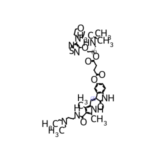 CCN(CC)CCNC(=O)c1c(C)[nH]c(/C=C2\C(=O)Nc3ccc(OC(=O)CCC(=O)O[C@@H](CNC(C)(C)C)COc4nsnc4N4CCOCC4)cc32)c1C